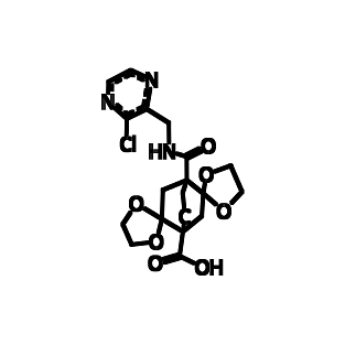 O=C(O)C12CCC(C(=O)NCc3nccnc3Cl)(CC13OCCO3)C1(C2)OCCO1